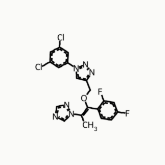 C/C(=C(/OCc1cn(-c2cc(Cl)cc(Cl)c2)nn1)c1ccc(F)cc1F)n1cncn1